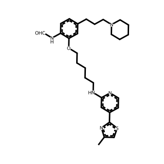 Cc1csc(-c2ccnc(NCCCCCOc3cc(CCCN4CCCCC4)ccc3NC=O)c2)n1